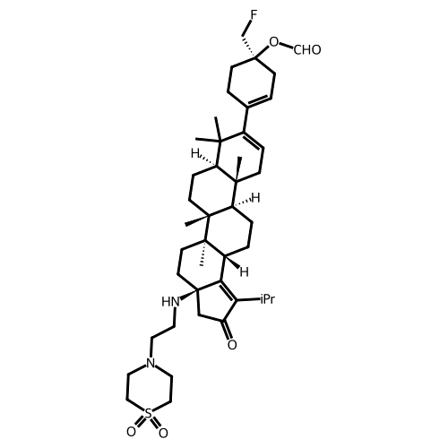 CC(C)C1=C2[C@H]3CC[C@@H]4[C@@]5(C)CC=C(C6=CC[C@](CF)(OC=O)CC6)C(C)(C)[C@@H]5CC[C@@]4(C)[C@]3(C)CC[C@@]2(NCCN2CCS(=O)(=O)CC2)CC1=O